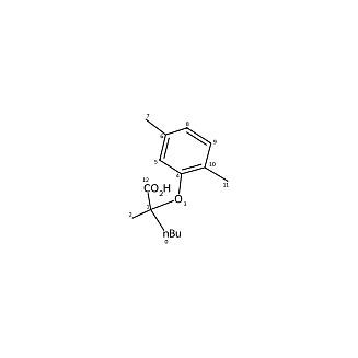 CCCCC(C)(Oc1cc(C)ccc1C)C(=O)O